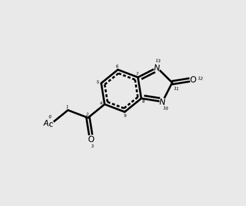 CC(=O)CC(=O)c1ccc2c(c1)=NC(=O)N=2